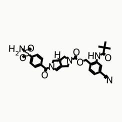 CC(C)(C)C(=O)Nc1cc(C#N)ccc1COC(=O)N1CC2=CN(C(=O)c3ccc(S(N)(=O)=O)cc3)C[C@H]2C1